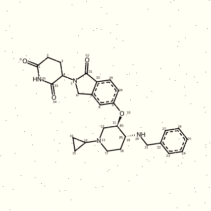 O=C1CCC(N2Cc3cc(O[C@@H]4CN(C5CC5)CC[C@H]4NCc4ccccc4)ccc3C2=O)C(=O)N1